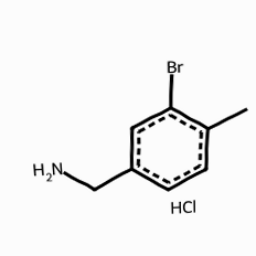 Cc1ccc(CN)cc1Br.Cl